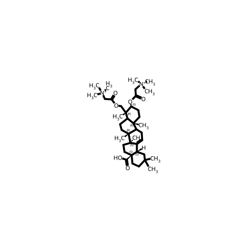 CC1(C)CC[C@]2(C(=O)O)CC[C@]3(C)C(=CCC4[C@@]5(C)CC[C@H](OC(=O)C[N+](C)(C)C)[C@@](C)(COC(=O)C[N+](C)(C)C)C5CC[C@]43C)[C@@H]2C1